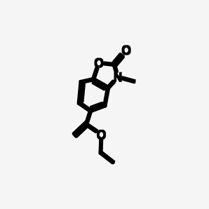 C=C(OCC)c1ccc2oc(=O)n(C)c2c1